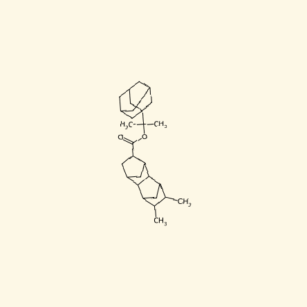 CC1C(C)C2CC1C1C3CC(C(=O)OC(C)(C)C45CC6CC(CC(C6)C4)C5)C(C3)C21